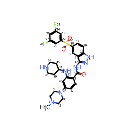 CN1CCN(c2ccc(C(=O)Nc3n[nH]c4ccc(S(=O)(=O)c5cc(F)cc(F)c5)cc34)c(NC3CCNCC3)c2)CC1